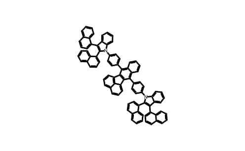 c1ccc2c(-c3c(-c4cccc5ccccc45)n(-c4ccc(-c5c6c(c(-c7ccc(-n8c(-c9cccc%10ccccc9%10)c(-c9cccc%10ccccc9%10)c9ccccc98)cc7)c7ccccc57)-c5cccc7cccc-6c57)cc4)c4ccccc34)cccc2c1